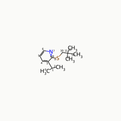 CC(C)c1cccnc1SCC(C)(C)C